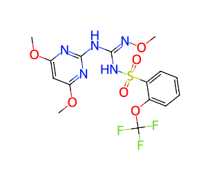 CON=C(Nc1nc(OC)cc(OC)n1)NS(=O)(=O)c1ccccc1OC(F)(F)F